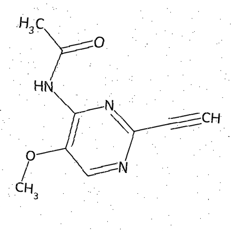 C#Cc1ncc(OC)c(NC(C)=O)n1